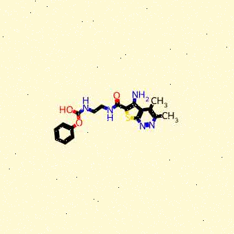 Cc1nnc2sc(C(=O)NCCNC(O)Oc3ccccc3)c(N)c2c1C